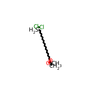 C=C(C)C(=O)OCCCCCCCCCCCCCCCCCC[SiH2]C(Cl)Cl